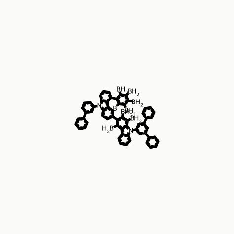 Bc1c(B)c(B)c(-c2cccc3c2c2cc(-c4c(B)c(B)c5c(c4B)c4ccccc4n5-c4cc(-c5ccccc5)cc(-c5ccccc5)c4)ccc2n3-c2cccc(-c3ccccc3)c2)c(B)c1B